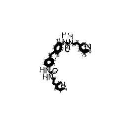 O=C(NCCc1cccnc1)Nc1ccc(Cc2ccc(NC(=O)NCCc3cccnc3)cc2)cc1